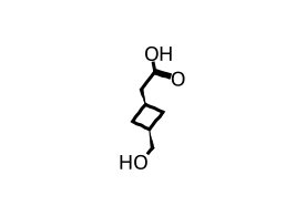 O=C(O)C[C@H]1C[C@@H](CO)C1